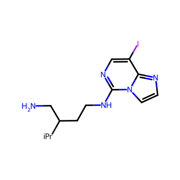 CC(C)C(CN)CCNc1ncc(I)c2nccn12